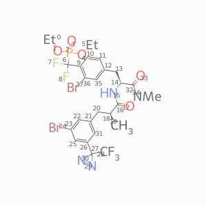 CCOP(=O)(OCC)C(F)(F)c1ccc(C[C@H](NC(=O)[C@@H](C)Cc2cc(Br)cc(C3(C(F)(F)F)N=N3)c2)C(=O)NC)cc1Br